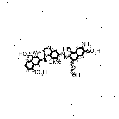 CO/C=N\c1cc(N=Nc2c(SOOO)cc3cc(S(=O)(=O)O)c(N)cc3c2O)c(OC)cc1N=Nc1cc(S(=O)(=O)O)c2cccc(S(=O)(=O)O)c2c1